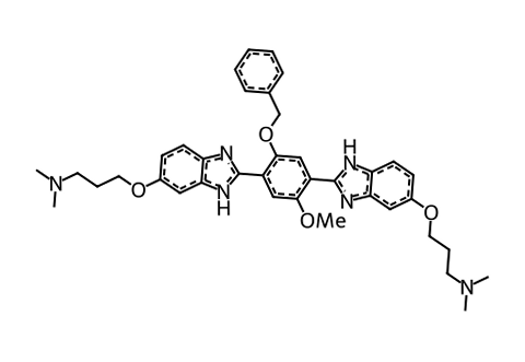 COc1cc(-c2nc3ccc(OCCCN(C)C)cc3[nH]2)c(OCc2ccccc2)cc1-c1nc2cc(OCCCN(C)C)ccc2[nH]1